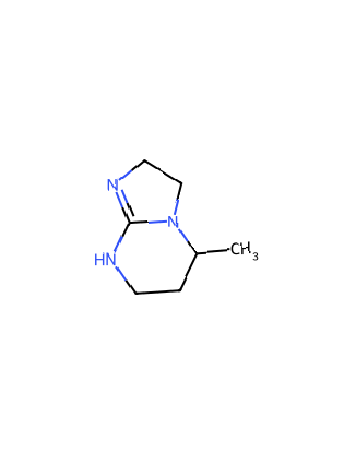 CC1CCNC2=NCCN21